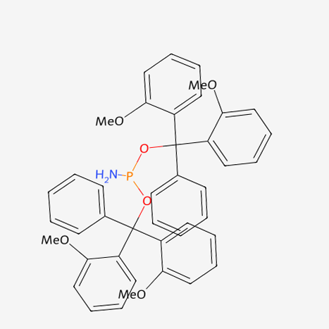 COc1ccccc1C(OP(N)OC(c1ccccc1)(c1ccccc1OC)c1ccccc1OC)(c1ccccc1)c1ccccc1OC